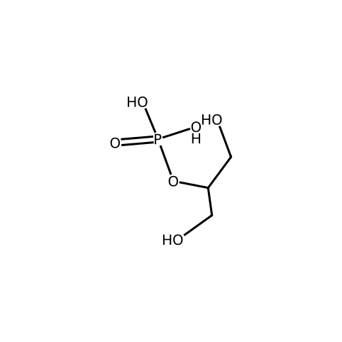 O=P(O)(O)OC(CO)CO